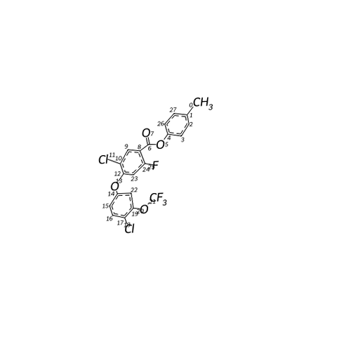 Cc1ccc(OC(=O)c2cc(Cl)c(Oc3ccc(Cl)c(OC(F)(F)F)c3)cc2F)cc1